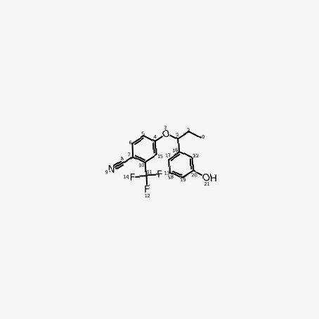 CCC(Oc1ccc(C#N)c(C(F)(F)F)c1)c1cccc(O)c1